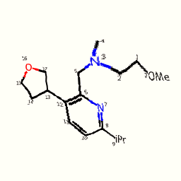 COCCN(C)Cc1nc(C(C)C)ccc1C1CCOC1